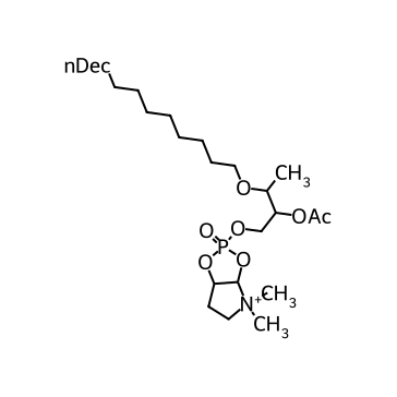 CCCCCCCCCCCCCCCCCCOC(C)C(COP1(=O)OC2CC[N+](C)(C)C2O1)OC(C)=O